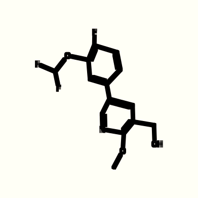 COc1ncc(-c2ccc(F)c(OC(F)F)c2)cc1CO